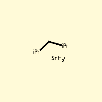 CC(C)[CH]C(C)C.[SnH2]